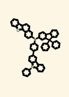 c1ccc(-n2c3ccccc3c3cc(-c4ccc(N(c5ccc6c(c5)C(c5ccccc5)(c5ccccc5)c5ccccc5-6)c5ccc6c(ccc7c8ccccc8oc67)c5)cc4)ccc32)cc1